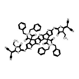 CCC1C(=O)/C(=N\c2cc3c(s2)-c2sc4c5c(sc4c2C3(C(=O)OCc2ccccc2)C(=O)OCc2ccccc2)-c2sc(/N=C3/SC(=C(C#N)C#N)N(CC)C3=O)cc2C5(C(=O)OCc2ccccc2)C(=O)OCc2ccccc2)SC1=C(C#N)C#N